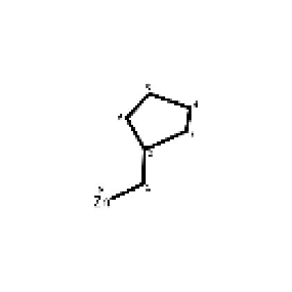 [Zn][CH2]C1CCCC1